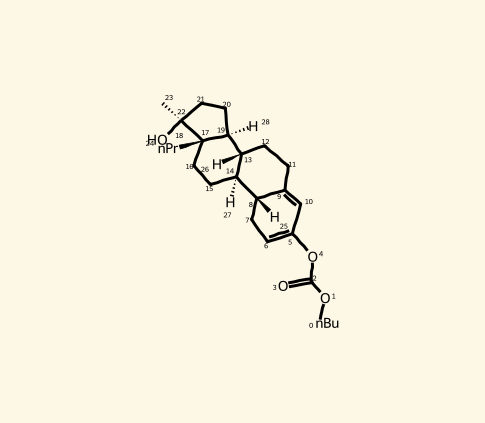 CCCCOC(=O)OC1=CC[C@H]2C(=C1)CC[C@@H]1[C@@H]2CC[C@@]2(CCC)[C@H]1CC[C@]2(C)O